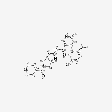 COc1cnc(Cl)cc1-c1cc(C)ncc1C(=O)Nc1nc2c(s1)CN(C(=O)C1CCOCC1)C2